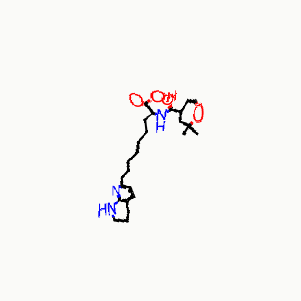 CC1(C)CC(C(=O)N[C@@H](CCCCCCCc2ccc3c(n2)NCCC3)C(=O)O)CCO1